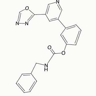 O=C(NCc1ccccc1)Oc1cccc(-c2cncc(-c3nnco3)c2)c1